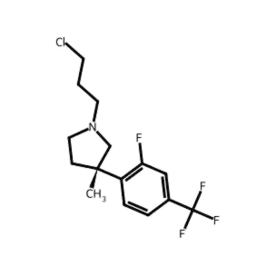 C[C@@]1(c2ccc(C(F)(F)F)cc2F)CCN(CCCCl)C1